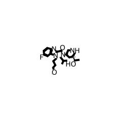 COCCCCn1c(C(=O)N(CC(C)C)[C@@H]2CNC[C@@H](C(C)O)C2)nc2ccc(F)cc21